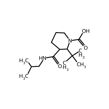 CC(C)CNC(=O)C1CCCN(C(=O)O)C1C(C)(C)C